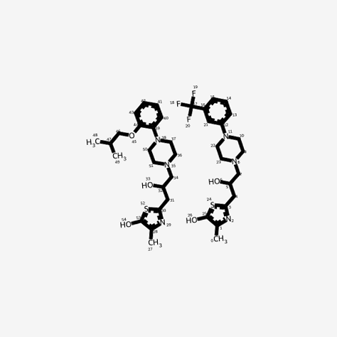 Cc1nc(CC(O)CN2CCN(c3cccc(C(F)(F)F)c3)CC2)sc1O.Cc1nc(CC(O)CN2CCN(c3ccccc3OCC(C)C)CC2)sc1O